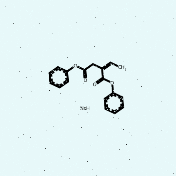 CC=C(CC(=O)Oc1ccccc1)C(=O)Oc1ccccc1.[NaH]